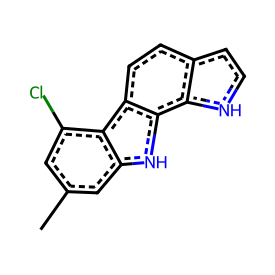 Cc1cc(Cl)c2c(c1)[nH]c1c2ccc2cc[nH]c21